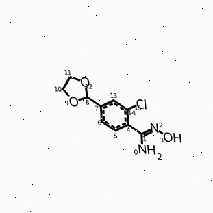 NC(=NO)c1ccc(C2OCCO2)cc1Cl